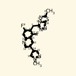 Cc1nn2c(Cc3c(F)cc4ncc(-c5cnn(C)c5)cc4c3F)nnc2s1